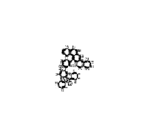 O=P(c1ccccc1)(c1ccccc1)c1ccc2sc3ccc(-c4c5ccc6ccccc6c5cc5ccc6ccccc6c45)cc3c2c1